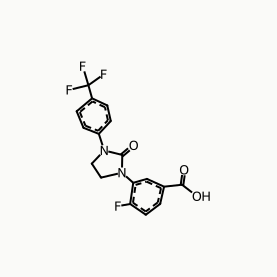 O=C(O)c1ccc(F)c(N2CCN(c3ccc(C(F)(F)F)cc3)C2=O)c1